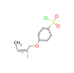 C/C=C(/F)COc1ccc(S(=O)(=O)Cl)cc1